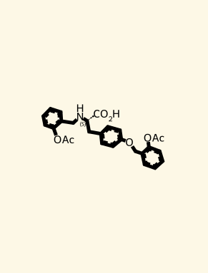 CC(=O)Oc1ccccc1CN[C@@H](Cc1ccc(OCc2ccccc2OC(C)=O)cc1)C(=O)O